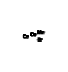 [Br].[Ce].[Co].[Mn]